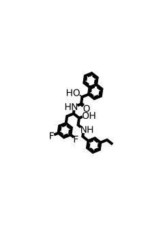 CCc1cccc(CNCC(O)C(Cc2cc(F)cc(F)c2)NC(=O)[C@H](O)c2cccc3ccccc23)c1